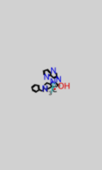 C[C@@H](O)c1nc2cnc3cccnc3c2n1C1CCN(Cc2ccccc2)CC1(F)F